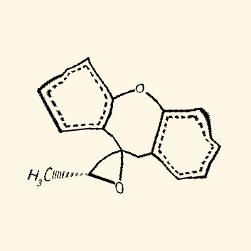 C[C@H]1OC12c1ccccc1Oc1ccccc12